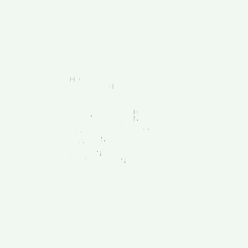 CC(C)C[C@@H](C(=O)NN(c1ccccn1)S(C)(=O)=O)[C@H](CC=Cc1ccccc1)C(=O)NOC1CCCCO1